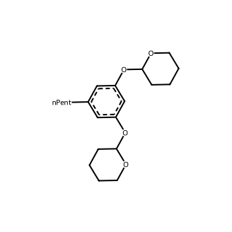 CCCCCc1cc(OC2CCCCO2)cc(OC2CCCCO2)c1